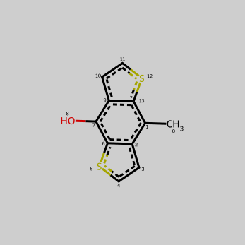 Cc1c2ccsc2c(O)c2ccsc12